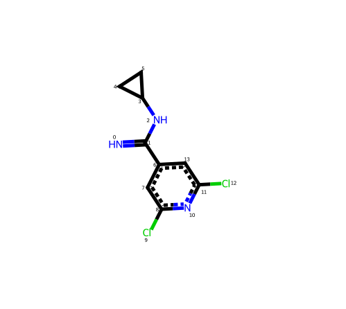 N=C(NC1CC1)c1cc(Cl)nc(Cl)c1